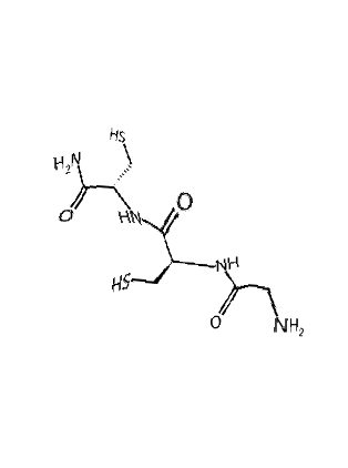 NCC(=O)N[C@@H](CS)C(=O)N[C@@H](CS)C(N)=O